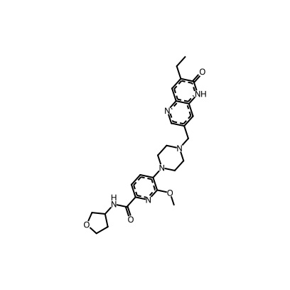 CCc1cc2ncc(CN3CCN(c4ccc(C(=O)NC5CCOC5)nc4OC)CC3)cc2[nH]c1=O